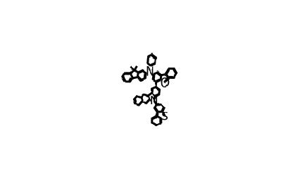 CC1(C)c2ccccc2-c2ccc(N(c3ccccc3)c3cc(-c4ccc5c(c4)c4cc6ccccc6cc4n5-c4ccc5sc6ccccc6c5c4)c4oc5ccccc5c4c3)cc21